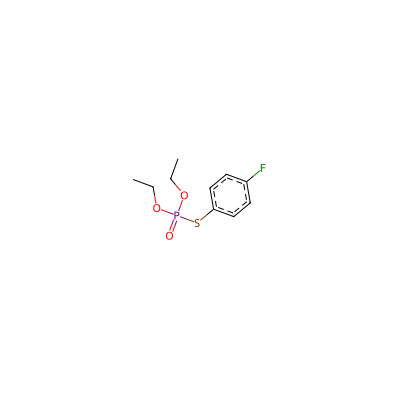 CCOP(=O)(OCC)Sc1ccc(F)cc1